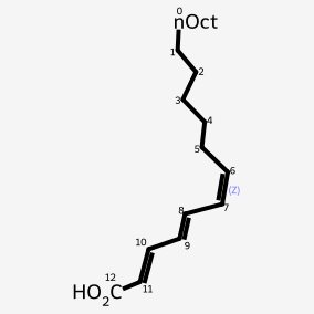 CCCCCCCCCCCCC/C=C\C=CC=CC(=O)O